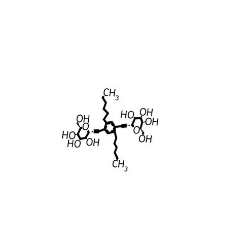 CCCCCCc1cc(C#C[C@H]2O[C@H](CO)[C@@H](O)[C@H](O)[C@@H]2O)c(CCCCCC)cc1C#C[C@H]1O[C@H](CO)[C@@H](O)[C@H](O)[C@@H]1O